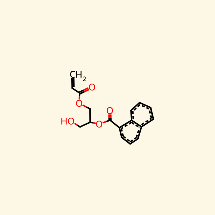 C=CC(=O)OCC(CO)OC(=O)c1cccc2ccccc12